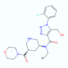 CC(C)CN(C(=O)c1nnn(-c2ccccc2F)c1CO)[C@@H]1CNC[C@H](C(=O)N2CCOCC2)C1